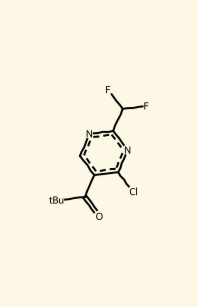 CC(C)(C)C(=O)c1cnc(C(F)F)nc1Cl